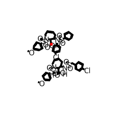 COc1ccc(S(=O)(=O)N2CC=CCC(N(c3ccc(Cl)cc3)S(=O)(=O)c3ccccc3)C2C(=O)O)cc1.COc1ccc(S(=O)(=O)N2CC=CCC(NS(=O)(=O)Cc3ccc(Cl)cc3)C2C(=O)O)cc1